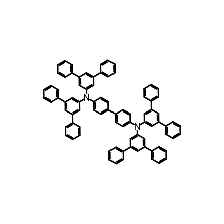 c1ccc(-c2cc(-c3ccccc3)cc(N(c3ccc(-c4ccc(N(c5cc(-c6ccccc6)cc(-c6ccccc6)c5)c5cc(-c6ccccc6)cc(-c6ccccc6)c5)cc4)cc3)c3cc(-c4ccccc4)cc(-c4ccccc4)c3)c2)cc1